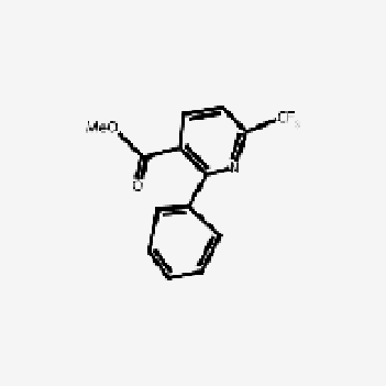 COC(=O)c1ccc(C(F)(F)F)nc1-c1ccccc1